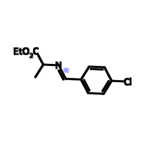 CCOC(=O)C(C)/N=C/c1ccc(Cl)cc1